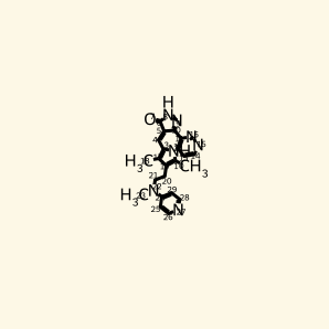 Cc1[nH]c(/C=C2/C(=O)NN=C2c2cccnn2)c(C)c1CCN(C)c1ccncc1